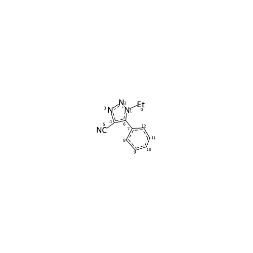 CCn1nnc(C#N)c1-c1ccccc1